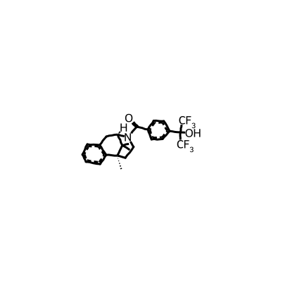 CC1(C)[C@H]2Cc3ccccc3[C@]1(C)CCN2C(=O)c1ccc(C(O)(C(F)(F)F)C(F)(F)F)cc1